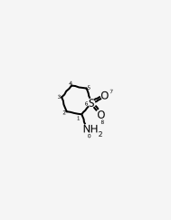 NC1CCCCS1(=O)=O